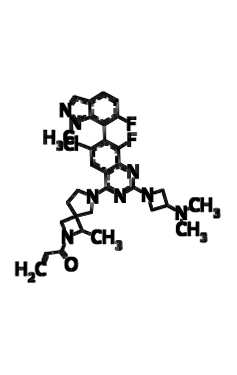 C=CC(=O)N1CC2(CCN(c3nc(N4CC(N(C)C)C4)nc4c(F)c(-c5c(F)ccc6cnn(C)c56)c(Cl)cc34)C2)C1C